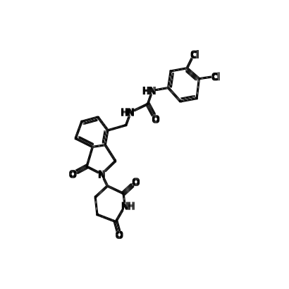 O=C1CCC(N2Cc3c(CNC(=O)Nc4ccc(Cl)c(Cl)c4)cccc3C2=O)C(=O)N1